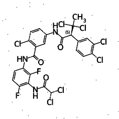 CC(Cl)(Cl)[C@H](C(=O)Nc1ccc(Cl)c(C(=O)Nc2ccc(F)c(NC(=O)C(Cl)Cl)c2F)c1)c1ccc(Cl)c(Cl)c1